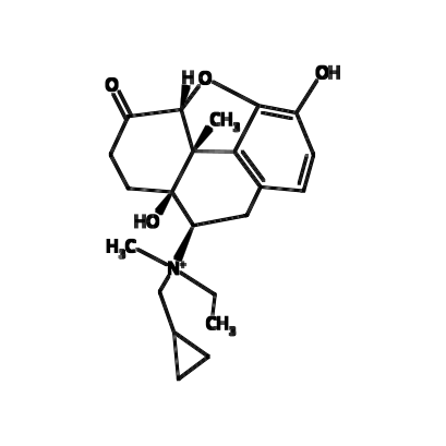 CC[N+](C)(CC1CC1)[C@@H]1Cc2ccc(O)c3c2[C@@]2(C)[C@@H](O3)C(=O)CC[C@@]12O